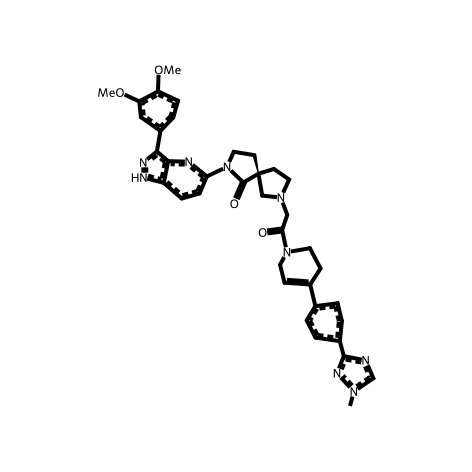 COc1ccc(-c2n[nH]c3ccc(N4CC[C@]5(CCN(CC(=O)N6CC=C(c7ccc(-c8ncn(C)n8)cc7)CC6)C5)C4=O)nc23)cc1OC